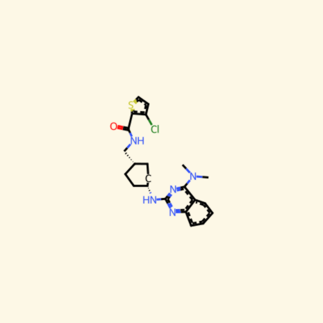 CN(C)c1nc(N[C@H]2CC[C@@H](CNC(=O)c3sccc3Cl)CC2)nc2ccccc12